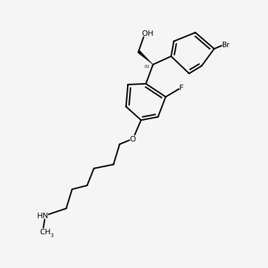 CNCCCCCCOc1ccc([C@@H](CO)c2ccc(Br)cc2)c(F)c1